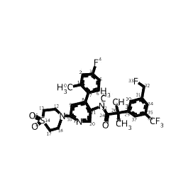 Cc1cc(F)ccc1-c1cc(N2CCS(=O)(=O)CC2)ncc1N(C)C(=O)C(C)(C)c1cc(CF)cc(C(F)(F)F)c1